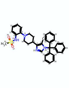 Cc1c(C2CCN(c3ccccc3NS(C)(=O)=O)CC2)ncn1C(c1ccccc1)(c1ccccc1)c1ccccc1